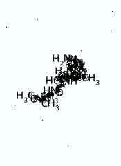 COCCC(C)(C)OCCNC(=O)CCC(NC(=O)c1ccc(N(C)Cc2cnc3nc(N)nc(N)c3n2)cc1)C(=O)O